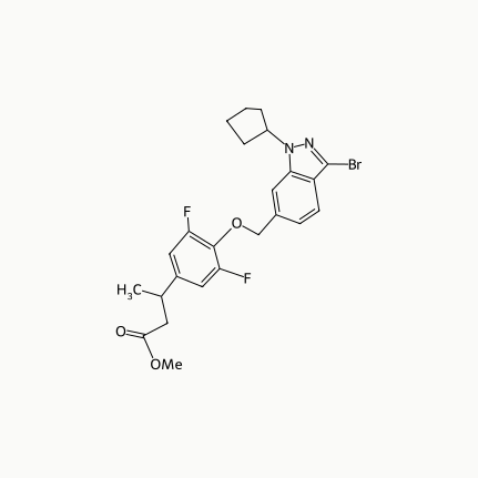 COC(=O)CC(C)c1cc(F)c(OCc2ccc3c(Br)nn(C4CCCC4)c3c2)c(F)c1